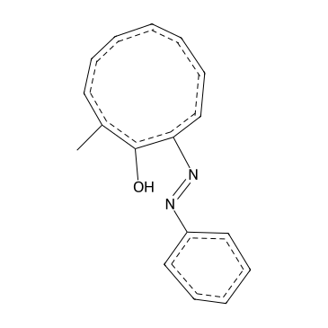 Cc1cccccccc(N=Nc2ccccc2)c1O